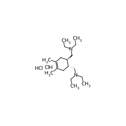 CCN(CC)C[C@@H]1CC(C)=C(C)C[C@H]1CN(CC)CC.Cl.Cl